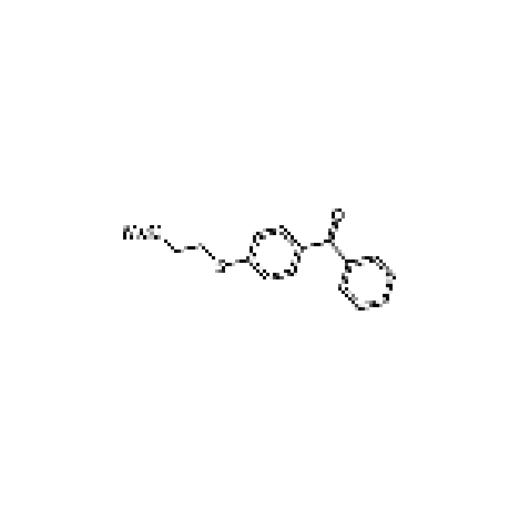 COCCSc1ccc(C(=O)c2ccccc2)cc1